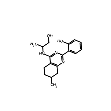 CC1CCc2c(nc(-c3ccccc3O)nc2NC(C)CO)C1